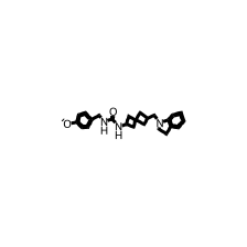 COc1ccc(CNC(=O)NC2CC3(CC(CN4CCc5ccccc54)C3)C2)cc1